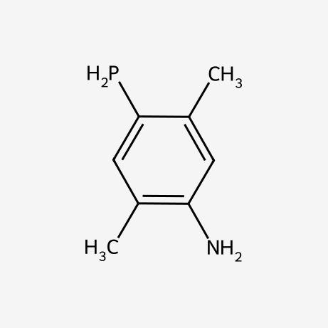 Cc1cc(P)c(C)cc1N